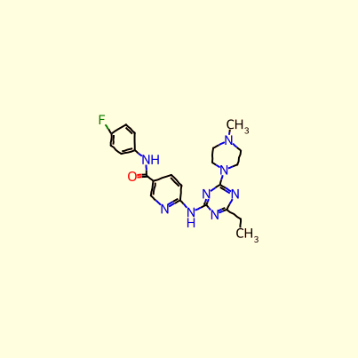 CCc1nc(Nc2ccc(C(=O)Nc3ccc(F)cc3)cn2)nc(N2CCN(C)CC2)n1